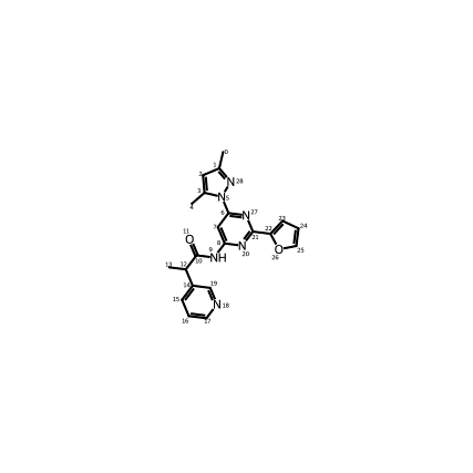 Cc1cc(C)n(-c2cc(NC(=O)C(C)c3cccnc3)nc(-c3ccco3)n2)n1